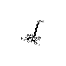 CCCCCCCCCCCCCCCCCC(OCCC)(OCCC)N(CC(C)O)CC(C)O